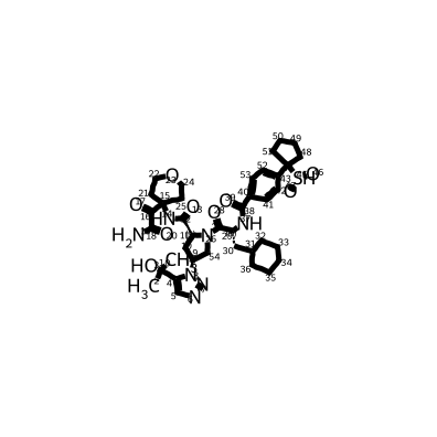 CC(C)(O)c1cnnn1[C@H]1C[C@@H](C(=O)NC2(C(=O)C(N)=O)CCOCC2)N(C(=O)[C@@H](CC2CCCCC2)NC(=O)c2ccc(C3([SH](=O)=O)CCCC3)cc2)C1